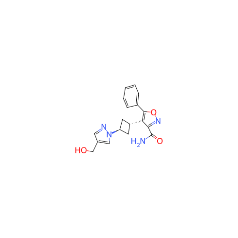 NC(=O)c1noc(-c2ccccc2)c1[C@H]1C[C@H](n2cc(CO)cn2)C1